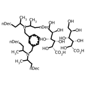 CCCCCCCCCCCC(C)N(Cc1cccc(CN(C(C)CCCCCCCCCCC)C(C)CCCCCCCCCCC)c1)C(C)CCCCCCCCCCC.O=C(O)[C@H](O)[C@@H](O)[C@H](O)[C@H](O)CO.O=C(O)[C@H](O)[C@@H](O)[C@H](O)[C@H](O)CO